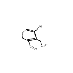 CCOC(=O)[CH]c1c(C(=O)O)cccc1[N+](=O)[O-]